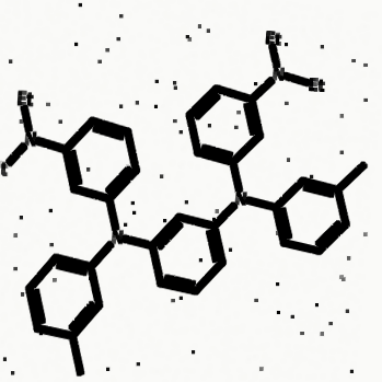 CCN(CC)c1cccc(N(c2cccc(C)c2)c2cccc(N(c3cccc(C)c3)c3cccc(N(CC)CC)c3)c2)c1